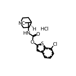 Cl.O=C(N[C@H]1CN2CCC1CC2)Oc1cc2cccc(Cl)c2s1